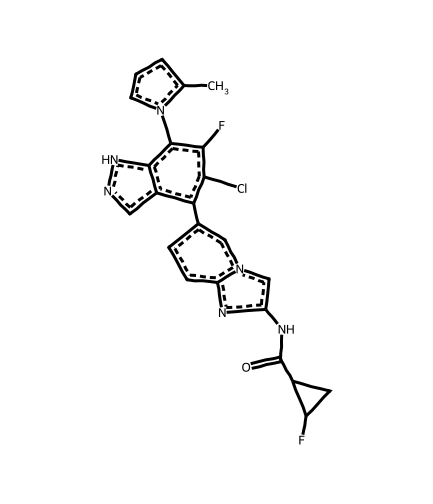 Cc1cccn1-c1c(F)c(Cl)c(-c2ccc3nc(NC(=O)C4CC4F)cn3c2)c2cn[nH]c12